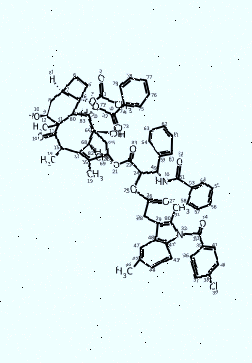 CC(=O)O[C@@]12CC[C@@H]1C[C@H](O)C1(C)C(=O)[C@H](C)C3=C(C)C(OC(=O)C(OC(=O)Cc4c(C)n(C(=O)c5ccc(Cl)cc5)c5ccc(C)cc45)[C@@H](NC(=O)c4ccccc4)c4ccccc4)C[C@](O)([C@H]3C)[C@@H](OC(=O)c3ccccc3)[C@@H]12